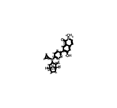 Cn1ccc2cc(O)c(-c3ccc(N(C4CC4)C4C[C@H]5CC[C@H](N5)C4F)nn3)cc2c1=O